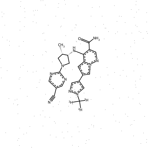 [2H]C([2H])([2H])n1cc(-c2cc3c(N[C@@H]4CN(c5ncc(C#N)cn5)C[C@@H]4C)c(C(N)=O)cnn3c2)cn1